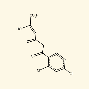 O=C(C=C(O)C(=O)O)CC(=O)c1ccc(Cl)cc1Cl